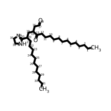 CCCCCCCCCCCCCC(=O)C(CC=O)CC(CCCCCCCCCCCC)C1=NCCN1